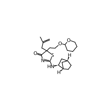 C=C(C)CC1(CCOC2CCCCO2)SC(N[C@H]2C[C@@H]3CC[C@H]2C3)=NC1=O